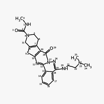 CNC(=O)N1CCc2c(sc3nc4c5ccccc5c(NCCN(C)C)nn4c(=O)c23)C1